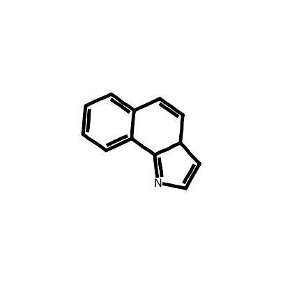 C1=CC2C=Cc3ccccc3C2=N1